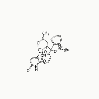 CN1CC2(C(O[SiH2]C(C)(C)C)(c3ccccc3)c3ccccc3)OC(n3ccc(=O)[nH]c3=O)C(O1)C2O